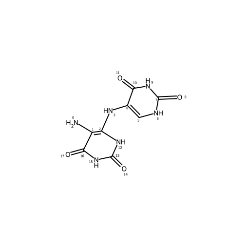 Nc1c(Nc2c[nH]c(=O)[nH]c2=O)[nH]c(=O)[nH]c1=O